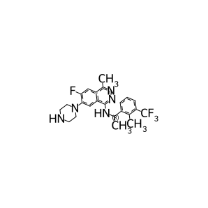 Cc1c([C@@H](C)Nc2nnc(C)c3cc(F)c(N4CCNCC4)cc23)cccc1C(F)(F)F